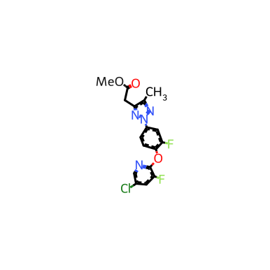 COC(=O)Cc1nn(-c2ccc(Oc3ncc(Cl)cc3F)c(F)c2)nc1C